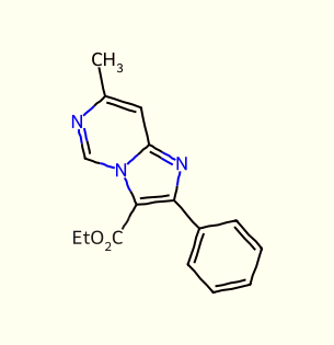 CCOC(=O)c1c(-c2ccccc2)nc2cc(C)ncn12